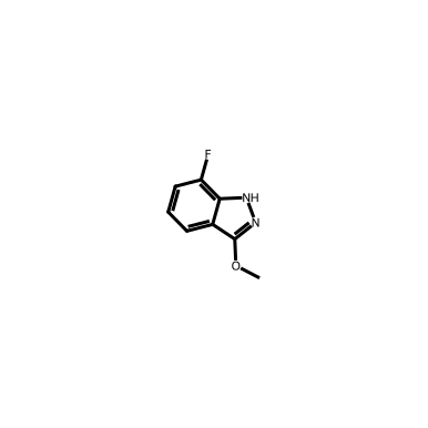 COc1n[nH]c2c(F)cccc12